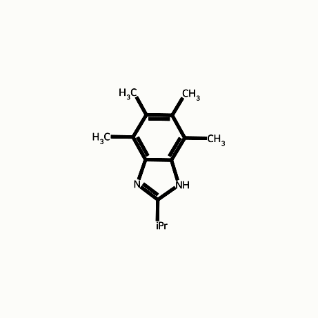 Cc1c(C)c(C)c2[nH]c(C(C)C)nc2c1C